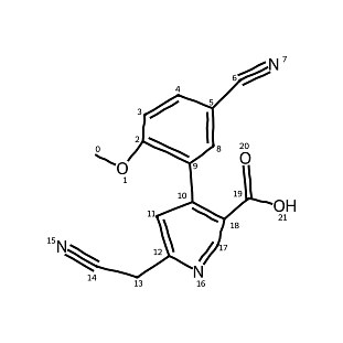 COc1ccc(C#N)cc1-c1cc(CC#N)ncc1C(=O)O